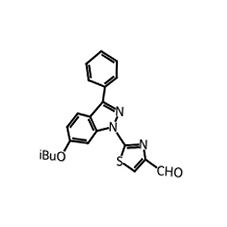 CC(C)COc1ccc2c(-c3ccccc3)nn(-c3nc(C=O)cs3)c2c1